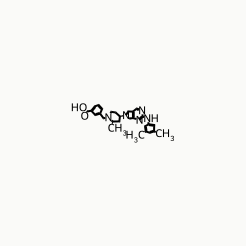 Cc1cc(C)cc(Nc2ncc3c(n2)CN([C@@H]2CCN(Cc4cccc(C(=O)O)c4)[C@H](C)C2)C3)c1